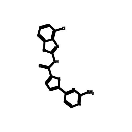 Nc1nccc(-c2ccc(C(=O)Nc3nc4c(Cl)cccc4o3)s2)n1